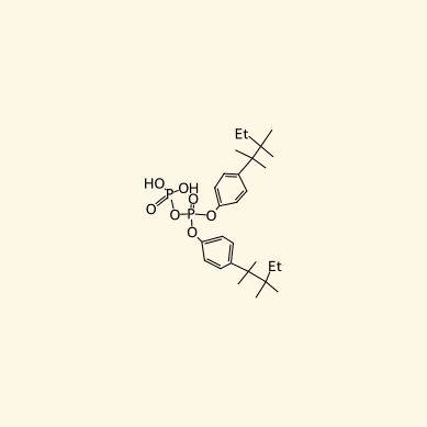 CCC(C)(C)C(C)(C)c1ccc(OP(=O)(Oc2ccc(C(C)(C)C(C)(C)CC)cc2)OP(=O)(O)O)cc1